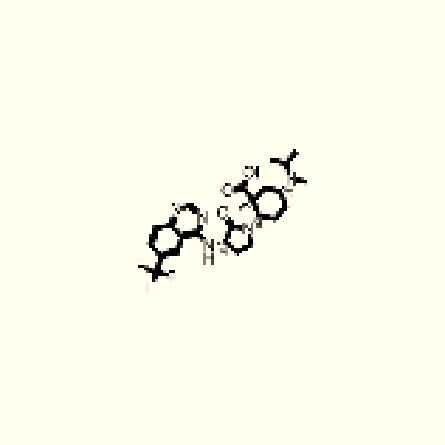 CC(C)N(C)[C@@H]1CC[C@H](N2CC[C@H](Nc3ncnc4ccc(C(F)(F)F)cc34)C2=O)[C@](C)(C(=O)O)C1